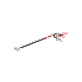 CCCCCCCCCCCCCCCCCCOCCOC(CC)CC(C)OCCC(=O)O